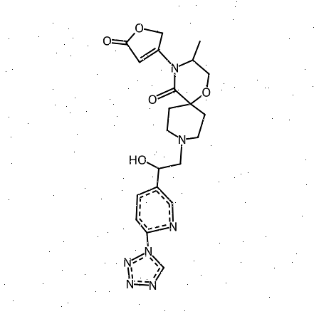 CC1COC2(CCN(CC(O)c3ccc(-n4cnnn4)nc3)CC2)C(=O)N1C1=CC(=O)OC1